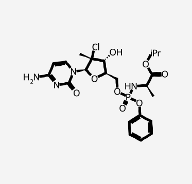 CC(C)OC(=O)[C@@H](C)NP(=O)(OC[C@H]1O[C@@H](n2ccc(N)nc2=O)[C@](C)(Cl)[C@@H]1O)Oc1ccccc1